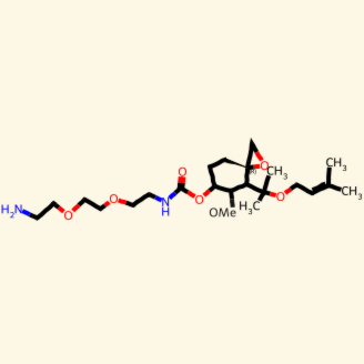 COC1C(OC(=O)NCCOCCOCCN)CC[C@]2(CO2)C1C(C)(C)OCC=C(C)C